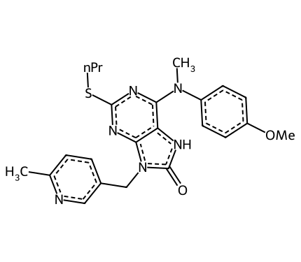 CCCSc1nc(N(C)c2ccc(OC)cc2)c2[nH]c(=O)n(Cc3ccc(C)nc3)c2n1